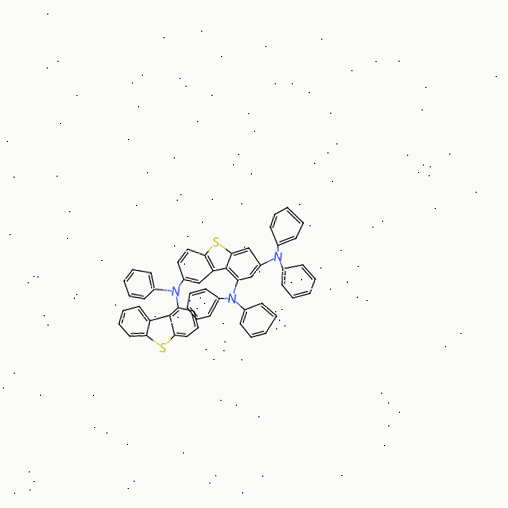 c1ccc(N(c2ccccc2)c2cc(N(c3ccccc3)c3ccccc3)c3c(c2)sc2ccc(N(c4ccccc4)c4cccc5sc6ccccc6c45)cc23)cc1